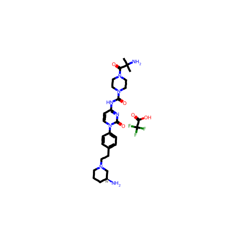 CC(C)(N)C(=O)N1CCN(C(=O)Nc2ccn(-c3ccc(CCN4CCC[C@H](N)C4)cc3)c(=O)n2)CC1.O=C(O)C(F)(F)F